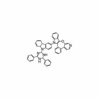 C1=CC2c3cc(-n4c5c(c6ccccc64)Oc4cnccc4-c4ccccc4-5)ccc3N(C3N=C(c4ccccc4)NC(c4ccccc4)N3)C2C=C1